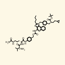 CCCCc1nc2c(NC(=O)OCc3ccc(NC(=O)[C@@H](CCCNC(N)=O)NC(=O)[C@H](N)C(C)C)cc3)nc3ccccc3c2n1Cc1ccc(CN(CCC2CC2)C(=O)OC(C)(C)C)cc1